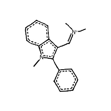 Cn1c(-c2ccccc2)c(C=[N+](C)C)c2ccccc21